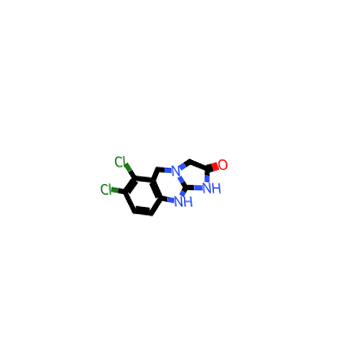 O=C1CN2Cc3c(ccc(Cl)c3Cl)NC2N1